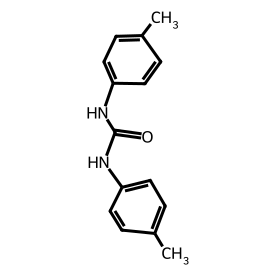 Cc1ccc(NC(=O)Nc2ccc(C)cc2)cc1